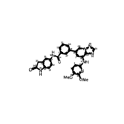 COc1ccc(Nc2cc(-c3cccc(C(=O)Nc4ccc5c(c4)CC(=O)N5)c3)cn3ncnc23)nc1OC